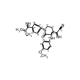 COc1ccc(NC2=C(C(=N)C#N)CCN(c3ccc(C(=N)N(C)C)cc3)C2=O)cc1